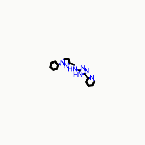 c1ccc(-n2ccc(CNc3nnc(-c4ccccn4)[nH]3)n2)cc1